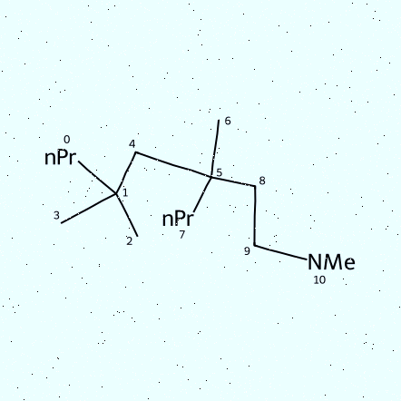 CCCC(C)(C)CC(C)(CCC)CCNC